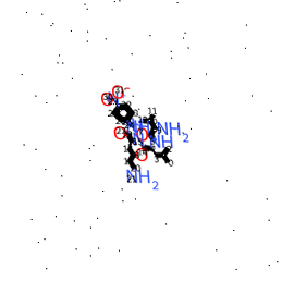 CC(C)C[C@H](NC(=O)[C@@H](N)C(C)C)C(=O)N[C@@H](CCCCN)C(=O)Nc1ccc([N+](=O)[O-])cc1